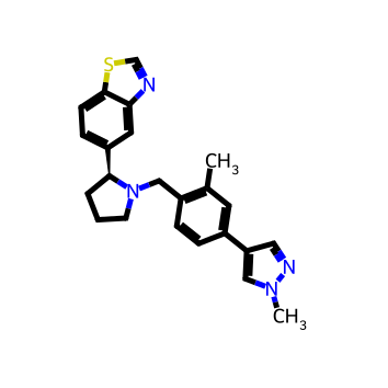 Cc1cc(-c2cnn(C)c2)ccc1CN1CCC[C@H]1c1ccc2scnc2c1